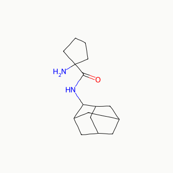 NC1(C(=O)NC2C3CC4CC(C3)CC2C4)CCCC1